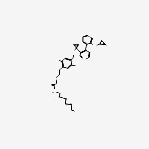 Cc1cc(CNC2(c3cnccc3-c3ccccc3OC3CC3)CC2)c(C)cc1CCCCC(=O)N(C)C[C@H](O)[C@@H](O)[C@H](O)[C@H](O)CO